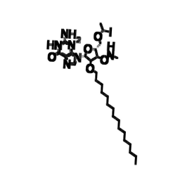 CCCCCCCCCCCCCCCCOC1C(ONC)[C@@H](COC(C)I)O[C@H]1n1cnc2c(=O)[nH]c(N)nc21